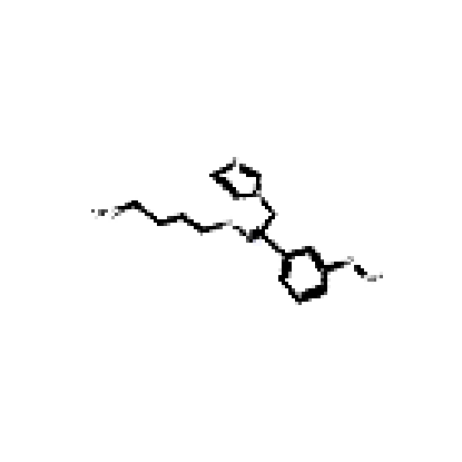 CCCCOc1cccc(/C(Cn2ccnc2)=N/OCCCCC(=O)O)c1